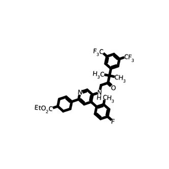 CCOC(=O)C1CC=C(c2cc(-c3ccc(F)cc3C)c(NCC(=O)C(C)(C)c3cc(C(F)(F)F)cc(C(F)(F)F)c3)cn2)CC1